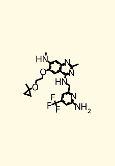 CNc1cc2nc(C)nc(NCc3cc(C(F)(F)F)cc(N)n3)c2cc1OCCOC1(C)CC1